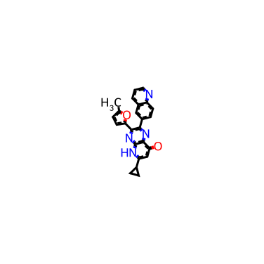 Cc1ccc(-c2nc3[nH]c(C4CC4)cc(=O)c3nc2-c2ccc3ncccc3c2)o1